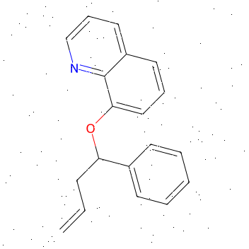 C=CCC(Oc1cccc2cccnc12)c1ccccc1